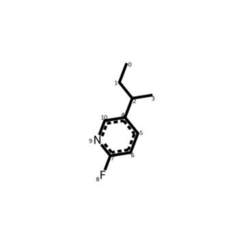 CCC(C)c1ccc(F)nc1